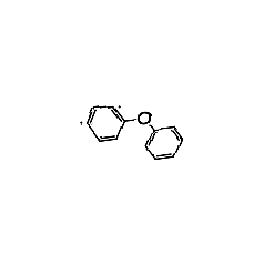 [c]1c[c]c(Oc2ccccc2)cc1